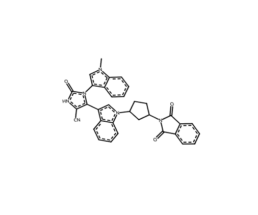 Cn1cc(-n2c(-c3cn(C4CCC(N5C(=O)c6ccccc6C5=O)C4)c4ccccc34)c(C#N)[nH]c2=O)c2ccccc21